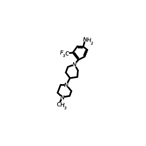 CN1CCN(C2CCN(c3ccc(N)cc3C(F)(F)F)CC2)CC1